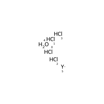 Cl.Cl.Cl.Cl.O.[Y]